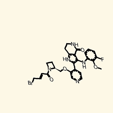 COc1c(F)cccc1Nc1c(-c2ccncc2OC[C@@H]2CCN2C(=O)/C=C/CBr)[nH]c2c1C(=O)NCC2